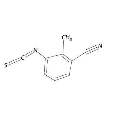 Cc1c(C#N)cccc1N=C=S